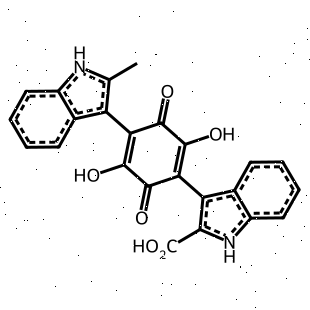 Cc1[nH]c2ccccc2c1C1=C(O)C(=O)C(c2c(C(=O)O)[nH]c3ccccc23)=C(O)C1=O